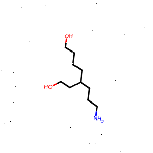 NCCCC(CCO)CCCCO